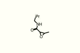 CC(C)CNC(=O)C1OC1C